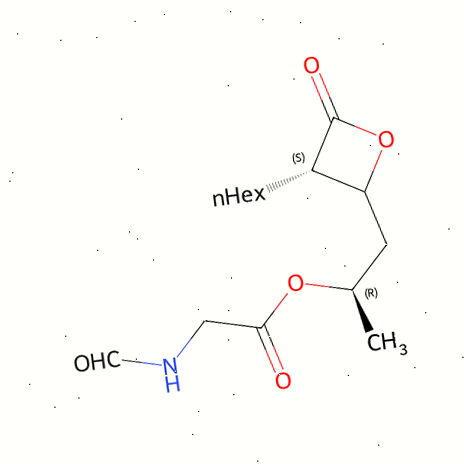 CCCCCC[C@@H]1C(=O)OC1C[C@@H](C)OC(=O)CNC=O